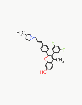 CC1=C(c2cc(F)cc(F)c2)C(c2ccc(/C=C/CN3CCC(C)C3)cc2)Oc2cc(O)ccc21